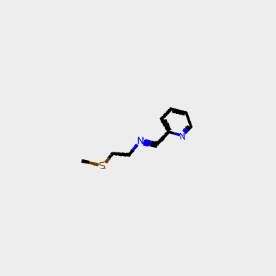 CSCC/N=C/c1ccccn1